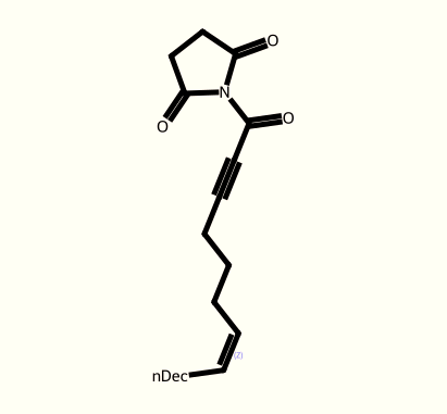 CCCCCCCCCC/C=C\CCCC#CC(=O)N1C(=O)CCC1=O